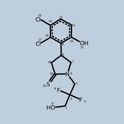 OCC(F)(F)CN1CC(c2c(O)ccc(Cl)c2Cl)CC1=S